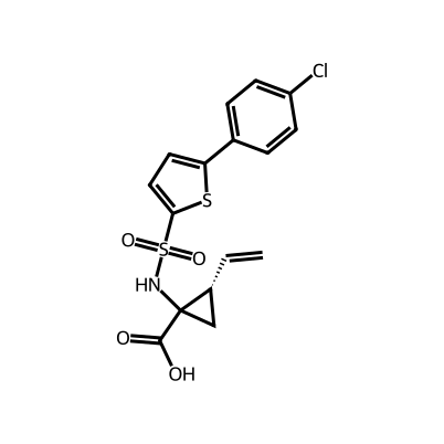 C=C[C@@H]1CC1(NS(=O)(=O)c1ccc(-c2ccc(Cl)cc2)s1)C(=O)O